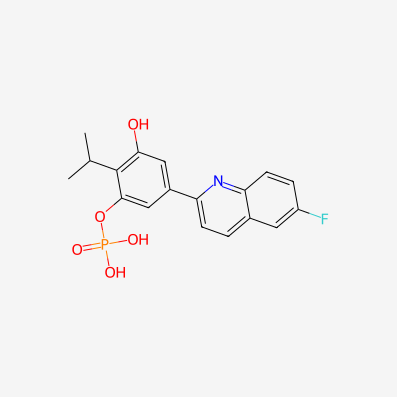 CC(C)c1c(O)cc(-c2ccc3cc(F)ccc3n2)cc1OP(=O)(O)O